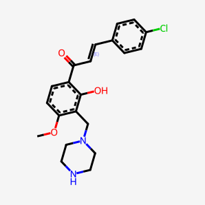 COc1ccc(C(=O)/C=C/c2ccc(Cl)cc2)c(O)c1CN1CCNCC1